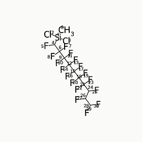 C[Si](Cl)(Cl)C(F)C(F)(F)C(F)(F)C(F)(F)C(F)(F)C(F)(F)C(F)(F)C(F)C(F)C(F)F